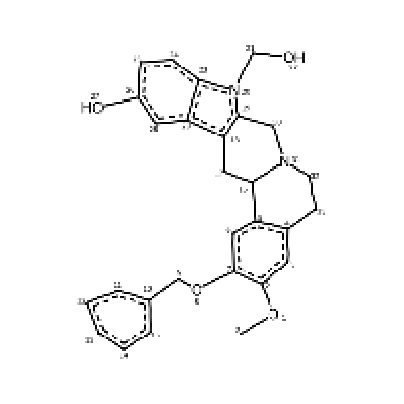 COc1cc2c(cc1OCc1ccccc1)C1Cc3c(n(CO)c4ccc(O)cc34)CN1CC2